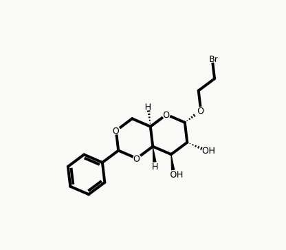 O[C@@H]1[C@@H](O)[C@@H](OCCBr)O[C@@H]2COC(c3ccccc3)O[C@@H]12